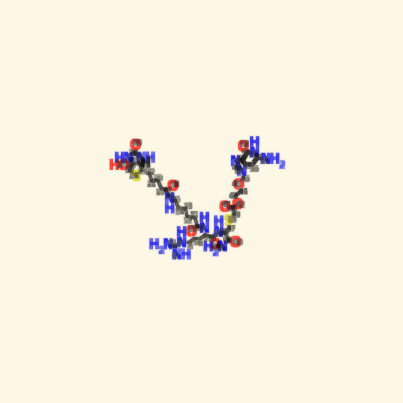 N=C(N)NCCCC(NC(=O)CCCCCNC(=O)CCCC[C@@H]1SC[C@]2(O)NC(=O)N[C@H]12)C(=O)N[C@@H](CSCC(=O)OCCOCn1cnc2c(=O)[nH]c(N)cc21)C(N)=O